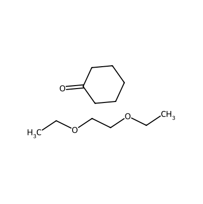 CCOCCOCC.O=C1CCCCC1